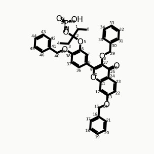 CCC(CC)(Oc1cc(-c2oc3cc(OCc4ccccc4)ccc3c(=O)c2OCc2ccccc2)ccc1OCc1ccccc1)O[PH](=O)O